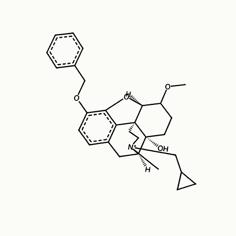 COC1CC[C@@]2(O)[C@H]3Cc4ccc(OCc5ccccc5)c5c4[C@@]2(CC[N+]3(C)CC2CC2)[C@H]1O5